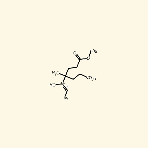 CCCCOC(=O)CCC(C)(CCC(=O)O)/[N+](O)=C/C(C)C